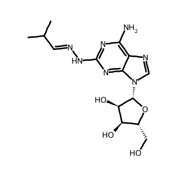 CC(C)/C=N/Nc1nc(N)c2ncn([C@@H]3O[C@H](CO)[C@@H](O)[C@H]3O)c2n1